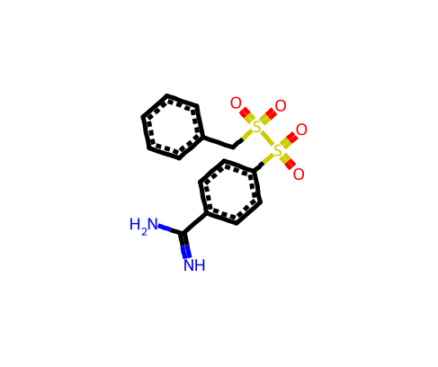 N=C(N)c1ccc(S(=O)(=O)S(=O)(=O)Cc2ccccc2)cc1